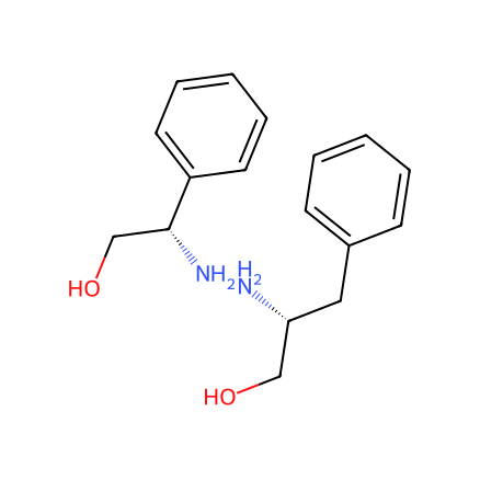 N[C@@H](CO)Cc1ccccc1.N[C@H](CO)c1ccccc1